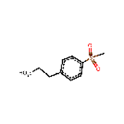 CS(=O)(=O)c1ccc(CCS(=O)(=O)O)cc1